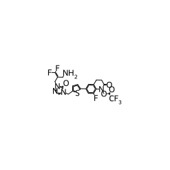 NCC(Cn1ncn(Cc2ccc(-c3cc(F)c4c(c3)CCC(=O)N4OC(=O)C(F)(F)F)s2)c1=O)=C(F)F